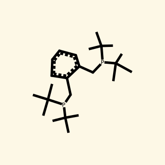 CC(C)(C)P(Cc1ccccc1CP(C(C)(C)C)C(C)(C)C)C(C)(C)C